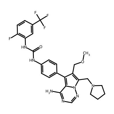 COCc1c(-c2ccc(NC(=O)Nc3cc(C(F)(F)F)ccc3F)cc2)c2c(N)ncnn2c1CN1CCCC1